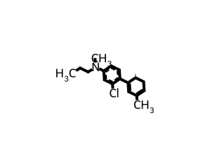 CCCN(C)c1ccc(C2=CC(C)=CC[CH]2)c(Cl)c1